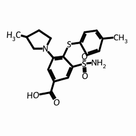 Cc1ccc(Sc2c(N3CCC(C)C3)cc(C(=O)O)cc2S(N)(=O)=O)cc1